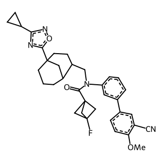 COc1ccc(-c2cccc(N(CC3CCC4(c5nc(C6CC6)no5)CCCC3C4)C(=O)C34CC(F)(C3)C4)c2)cc1C#N